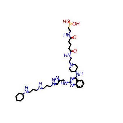 O=C(CCCC(=O)NCCP(O)O)NCCN1CCC(Nc2nc(NCc3cn(CCCNCCCNC4CCCCC4)nn3)nc3ccccc23)CC1